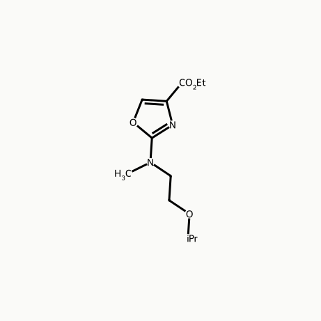 CCOC(=O)c1coc(N(C)CCOC(C)C)n1